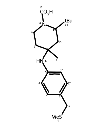 CSCc1ccc(NC2(C)CCN(C(=O)O)C(C(C)(C)C)C2)cc1